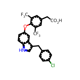 O=C(O)Cc1cc(C(F)(F)F)c(Oc2ccc3[nH]cc(Cc4ccc(Cl)cc4)c3c2)c(C(F)(F)F)c1